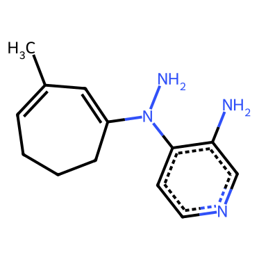 CC1=CCCCC(N(N)c2ccncc2N)=C1